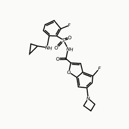 O=C(NS(=O)(=O)c1c(F)cccc1NC1CC1)c1cc2c(F)cc(N3CCC3)cc2o1